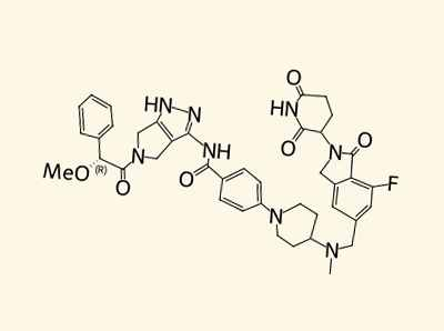 CO[C@@H](C(=O)N1Cc2[nH]nc(NC(=O)c3ccc(N4CCC(N(C)Cc5cc(F)c6c(c5)CN(C5CCC(=O)NC5=O)C6=O)CC4)cc3)c2C1)c1ccccc1